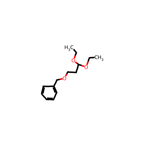 CCOC(CCOCc1ccccc1)OCC